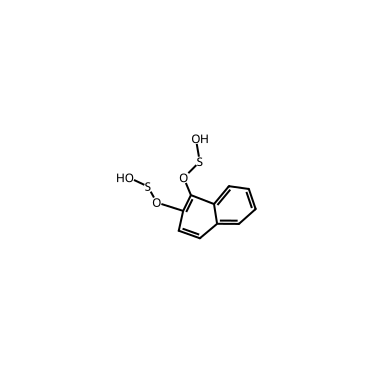 OSOc1ccc2ccccc2c1OSO